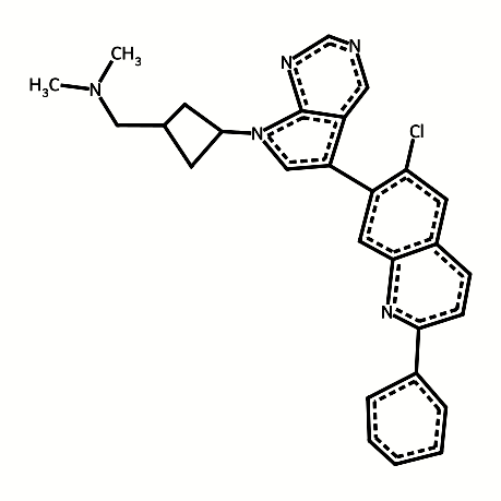 CN(C)CC1CC(n2cc(-c3cc4nc(-c5ccccc5)ccc4cc3Cl)c3cncnc32)C1